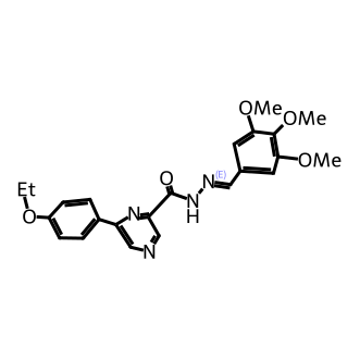 CCOc1ccc(-c2cncc(C(=O)N/N=C/c3cc(OC)c(OC)c(OC)c3)n2)cc1